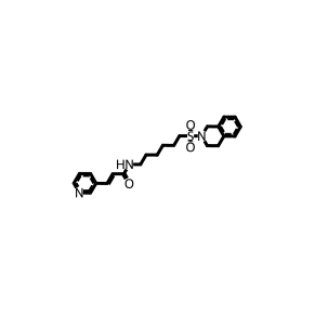 O=C(/C=C/c1cccnc1)NCCCCCCS(=O)(=O)N1CCc2ccccc2C1